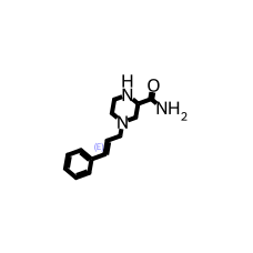 NC(=O)C1CN(C/C=C/c2ccccc2)CCN1